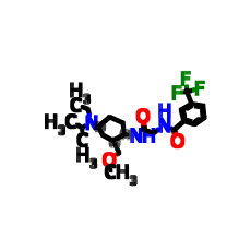 CCN(C(C)C)[C@@H]1CC[C@H](NC(=O)CNC(=O)c2cccc(C(F)(F)F)c2)[C@@H](COC)C1